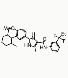 CCC(F)(F)c1cccc(NC(=O)C2=C(C)NC(c3ccc(OC)c(C4C(C)CCCC4C)c3)N2)c1